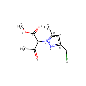 COC(=O)C(C(C)=O)n1nc(CF)cc1C